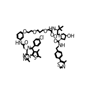 Cc1ncsc1-c1ccc(CNC(=O)[C@@H]2C[C@@H](O)CN2C(=O)[C@@H](NC(=O)COCCCOCCOc2cccc(NC(=O)C[C@@H]3N=C(c4ccc(Cl)cc4)c4c(sc(C)c4C)-n4c(C)nnc43)c2)C(C)(C)C)cc1